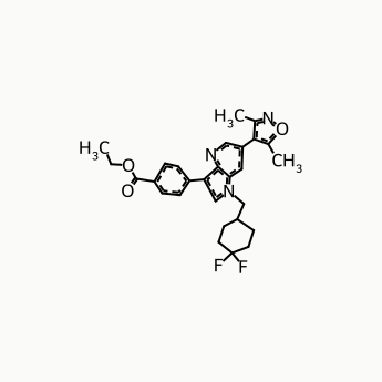 CCOC(=O)c1ccc(-c2cn(CC3CCC(F)(F)CC3)c3cc(-c4c(C)noc4C)cnc23)cc1